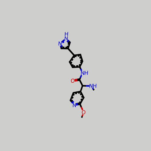 CNC(C(=O)Nc1ccc(-c2cn[nH]c2)cc1)c1ccnc(OC)c1